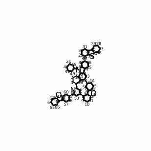 C1=CCCC(c2cc(-c3cccc4oc5ccc(-c6ccc7c(c6)c6ccc(-c8cccc9c8sc8ccccc89)cc6n7-c6ccccc6)cc5c34)cc(-c3ccc4c(c3)oc3ccccc34)n2)=C1